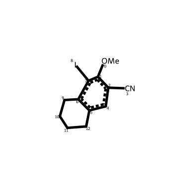 COc1c(C#N)cc2c(c1I)CCCC2